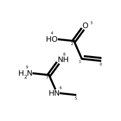 C=CC(=O)O.CNC(=N)N